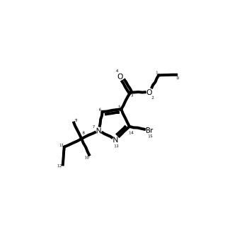 CCOC(=O)c1cn(C(C)(C)CC)nc1Br